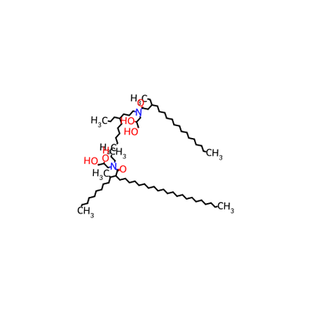 CCCCCCCCCCCCCCCC(CC)CC(=O)N(CCCC(CCC)CCCCCC)CC(O)CO.CCCCCCCCCCCCCCCCCCCCCCC(C(=O)N(CCC)CC(O)CO)C(C)CCCCCCCCC